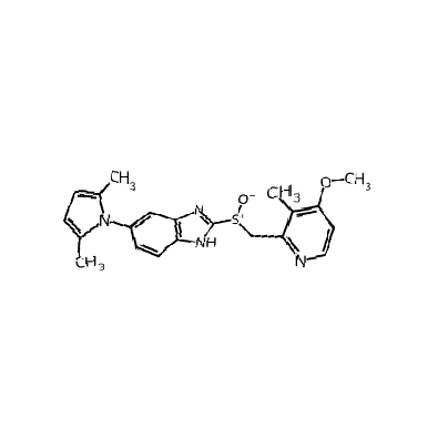 COc1ccnc(C[S+]([O-])c2nc3cc(-n4c(C)ccc4C)ccc3[nH]2)c1C